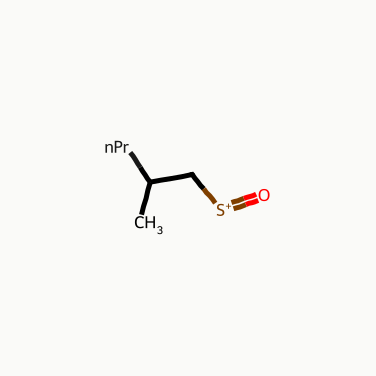 CCCC(C)C[S+]=O